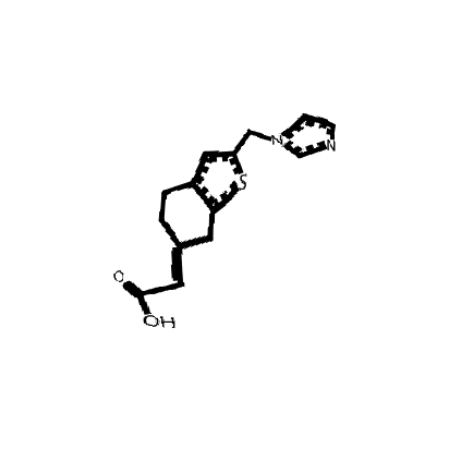 O=C(O)C=C1CCc2cc(Cn3ccnc3)sc2C1